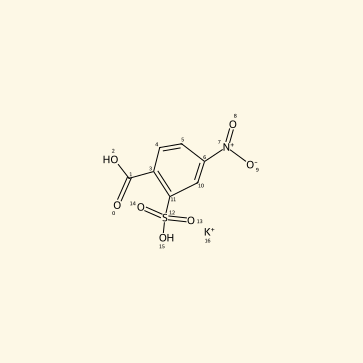 O=C(O)c1ccc([N+](=O)[O-])cc1S(=O)(=O)O.[K+]